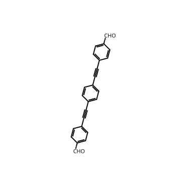 O=Cc1ccc(C#Cc2ccc(C#Cc3ccc(C=O)cc3)cc2)cc1